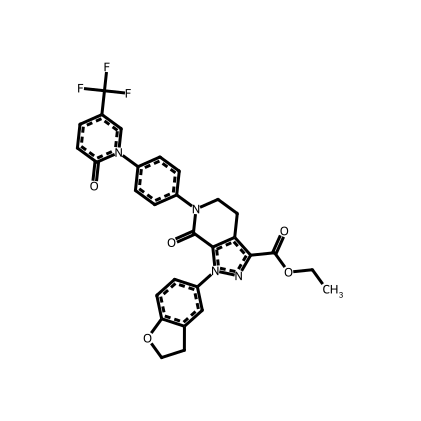 CCOC(=O)c1nn(-c2ccc3c(c2)CCO3)c2c1CCN(c1ccc(-n3cc(C(F)(F)F)ccc3=O)cc1)C2=O